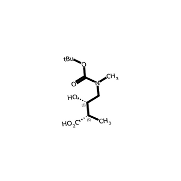 C[C@H](C(=O)O)[C@H](O)CN(C)C(=O)OC(C)(C)C